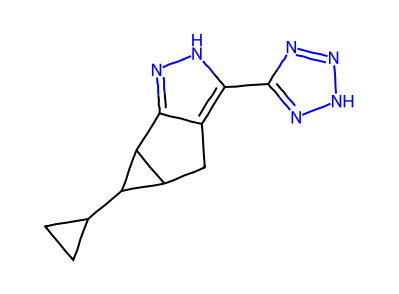 C1CC1C1C2Cc3c(n[nH]c3-c3nn[nH]n3)C21